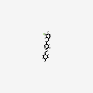 Cc1ccc(CCc2ccc(CCC3CCC(C)CC3)cc2)cc1F